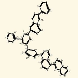 c1ccc(-c2ccc3cc(-c4nc(-c5ccccc5)nc(-c5cccc(-c6cccc7c(-c8ccc9ccccc9c8)cccc67)c5)n4)ccc3c2)cc1